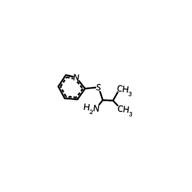 CC(C)C(N)Sc1ccccn1